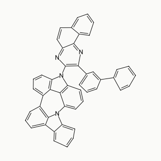 c1ccc(-c2cccc(-c3nc4c(ccc5ccccc54)nc3-n3c4cccc5c6cccc7c8ccccc8n(c8cccc3c8c54)c67)c2)cc1